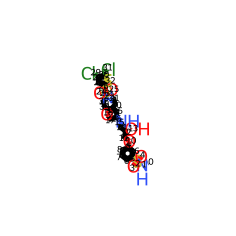 CNS(=O)(=O)c1cccc(OC[C@@H](O)CNC2COC3(CCN(S(=O)(=O)c4cc(Cl)c(Cl)s4)CC3)C2)c1